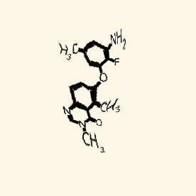 Cc1cc(N)c(F)c(Oc2ccc3ncn(C)c(=O)c3c2C)c1